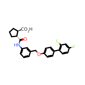 O=C(O)[C@@H]1CCC[C@H]1C(=O)Nc1cccc(COc2ccc(-c3ccc(F)cc3F)cc2)c1